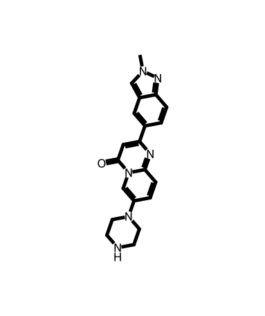 Cn1cc2cc(-c3cc(=O)n4cc(N5CCNCC5)ccc4n3)ccc2n1